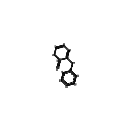 O=[N+]1CC=CC=C1Cc1[c]cccc1